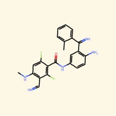 CNc1cc(F)c(C(=O)Nc2ccc(N)c(C(=N)c3ccccc3C)c2)c(F)c1C=N